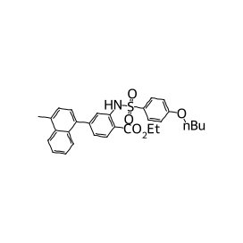 CCCCOc1ccc(S(=O)(=O)Nc2cc(-c3ccc(C)c4ccccc34)ccc2C(=O)OCC)cc1